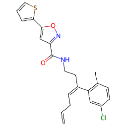 C=CC/C=C(/CCNC(=O)c1cc(-c2cccs2)on1)c1cc(Cl)ccc1C